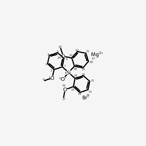 COc1ccccc1[Si]([O-])(c1ccccc1OC)c1ccccc1OC.[Br-].[Mg+2]